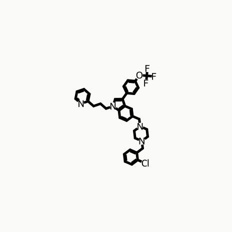 FC(F)(F)Oc1ccc(-c2cn(CCCc3ccccn3)c3ccc(CN4CCN(Cc5ccccc5Cl)CC4)cc23)cc1